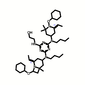 C/C=C1\CC(N(CCCC)c2nc(NCCO)nc(N(CCCC)C3C/C(=C\C)N4C(OC5CCCCC5)CC4(C)C3)n2)CC(C)(C)N1OC1CCCCC1